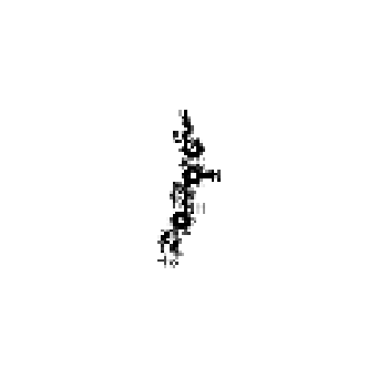 N#CCC(=O)N1CC[C@H](Oc2ccc(-c3ncnc(Nc4ccc(N5CCO[C@@H](CO)C5)cc4)n3)cc2C#N)[C@@H](F)C1